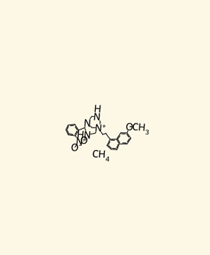 C.COc1ccc2cccc(CC[N+]34CNCN(C3)C(c3ccccc3[N+](=O)[O-])NC4)c2c1